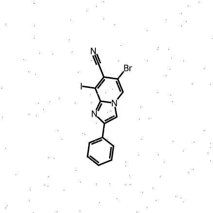 N#Cc1c(Br)cn2cc(-c3ccccc3)nc2c1I